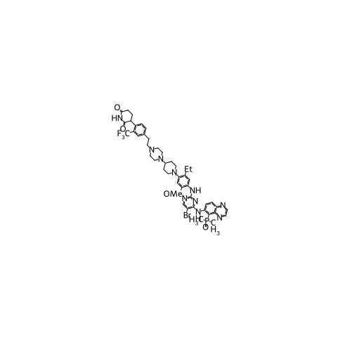 CCc1cc(Nc2ncc(Br)c(Nc3ccc4nccnc4c3P(C)(C)=O)n2)c(OC)cc1N1CCC(N2CCN(CCc3ccc(C4CCC(=O)NC4=O)c(C(F)(F)F)c3)CC2)CC1